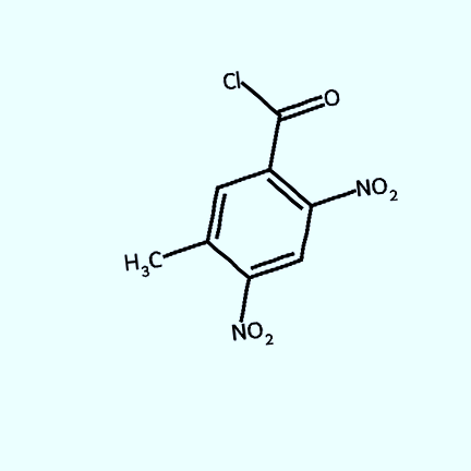 Cc1cc(C(=O)Cl)c([N+](=O)[O-])cc1[N+](=O)[O-]